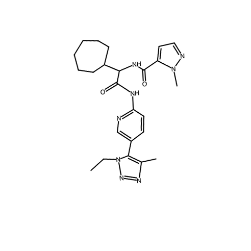 CCn1nnc(C)c1-c1ccc(NC(=O)C(NC(=O)c2ccnn2C)C2CCCCCC2)nc1